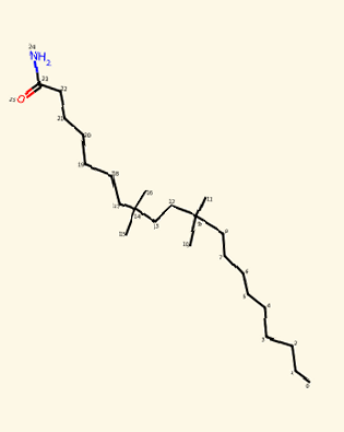 CCCCCCCCCC(C)(C)CCC(C)(C)CCCCCCC(N)=O